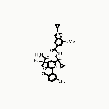 COc1cc(C(=O)NCC(O)(c2cc3c(c(-c4cc(C(F)(F)F)ccc4Cl)n2)OC[C@]3(C)C(N)=O)C2CC2)cc2cn(C3CC3)nc12